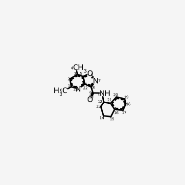 Cc1cc(C)c2onc(C(=O)NC3CCCc4ccccc43)c2n1